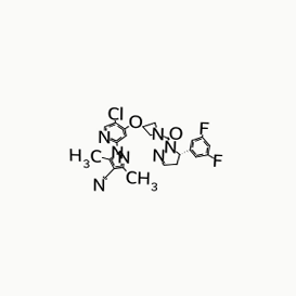 Cc1nn(-c2cc(OC3CN(C(=O)N4N=CC[C@H]4c4cc(F)cc(F)c4)C3)c(Cl)cn2)c(C)c1C#N